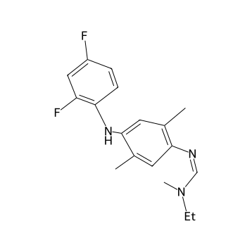 CCN(C)/C=N\c1cc(C)c(Nc2ccc(F)cc2F)cc1C